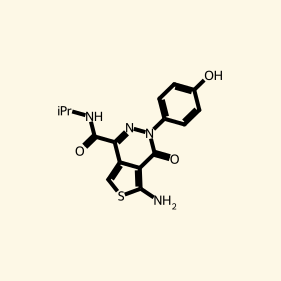 CC(C)NC(=O)c1nn(-c2ccc(O)cc2)c(=O)c2c(N)scc12